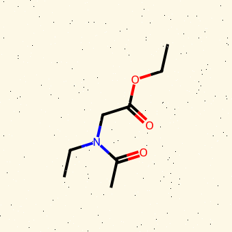 CCOC(=O)CN(CC)C(C)=O